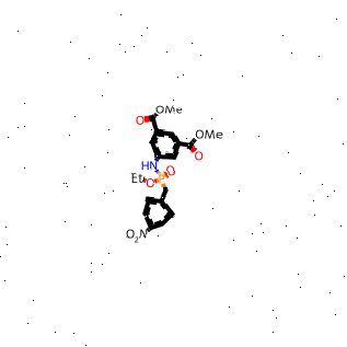 CCOP(=O)(Cc1ccc([N+](=O)[O-])cc1)Nc1cc(C(=O)OC)cc(C(=O)OC)c1